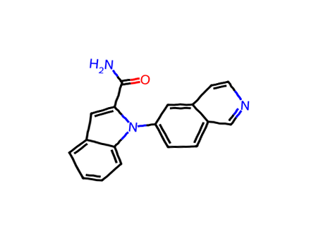 NC(=O)c1cc2ccccc2n1-c1ccc2cnccc2c1